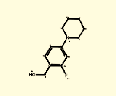 OCc1ccc(N2CCCCC2)cc1F